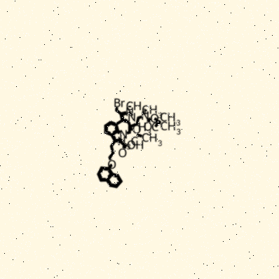 CC(C)OCc1nn(C)c(CBr)c1-c1cccc2c(CCCOc3cccc4ccccc34)c(C(=O)O)n(CCCCN(C)C(=O)OC(C)(C)C)c12